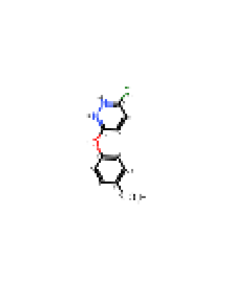 O=C(O)c1ccc(Oc2ccc(Cl)nn2)cc1